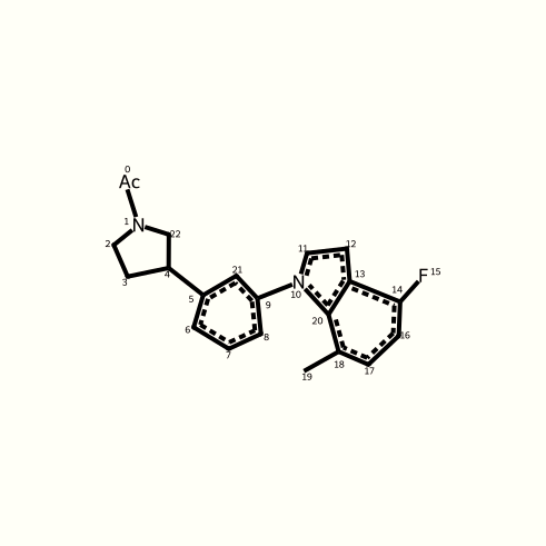 CC(=O)N1CCC(c2cccc(-n3ccc4c(F)ccc(C)c43)c2)C1